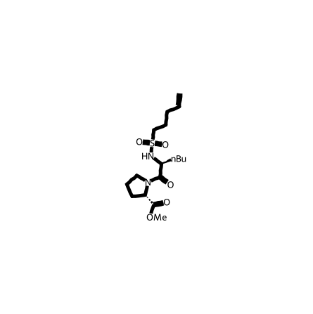 C=CCCCS(=O)(=O)N[C@@H](CCCC)C(=O)N1CCC[C@H]1C(=O)OC